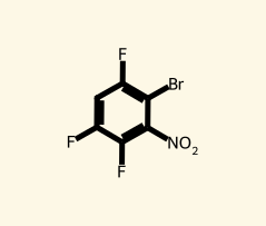 O=[N+]([O-])c1c(F)c(F)cc(F)c1Br